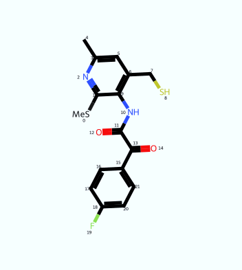 CSc1nc(C)cc(CS)c1NC(=O)C(=O)c1ccc(F)cc1